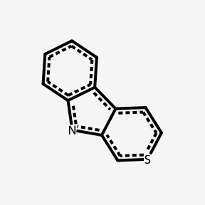 c1ccc2c3ccscc-3nc2c1